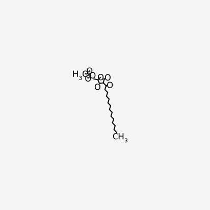 CCCCCCCCCCCCCCCC(=O)C1C(=O)OC(COS(C)(=O)=O)C1=O